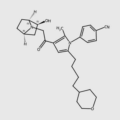 Cc1c(C(=O)CN2[C@@H]3CC[C@H]2[C@@H](O)C3)cc(CCCCC2CCOCC2)n1-c1ccc(C#N)cc1